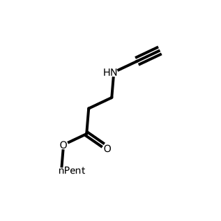 C#CNCCC(=O)OCCCCC